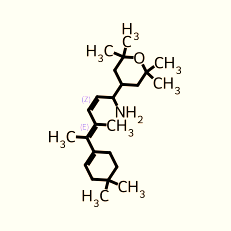 CC(/C=C\C(N)C1CC(C)(C)OC(C)(C)C1)=C(/C)C1=CCC(C)(C)CC1